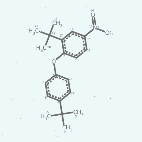 CC(C)(C)c1ccc(Oc2ccc([N+](=O)[O-])cc2C(C)(C)C)cc1